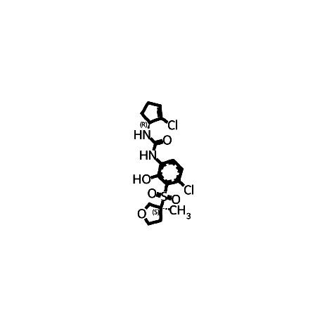 C[C@]1(S(=O)(=O)c2c(Cl)ccc(NC(=O)N[C@@H]3CCC=C3Cl)c2O)CCOC1